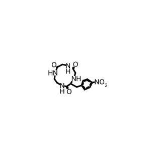 O=C1CNC(=O)CNC(Cc2ccc([N+](=O)[O-])cc2)C(=O)NCCN1